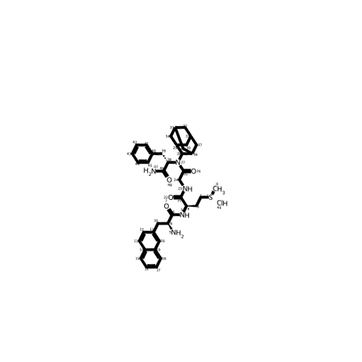 CSCC[C@@H](NC(=O)[C@@H](N)Cc1ccc2ccccc2c1)C(=O)NCC(=O)N(C1C2CC3CC(C2)CC1C3)[C@@H](Cc1ccccc1)C(N)=O.Cl